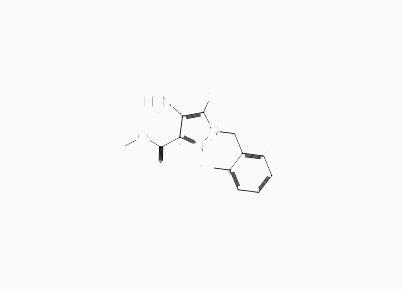 COC(=O)c1nn(Cc2ccccc2F)c(Cl)c1N